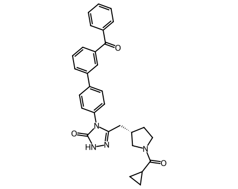 O=C(c1ccccc1)c1cccc(-c2ccc(-n3c(C[C@@H]4CCN(C(=O)C5CC5)C4)n[nH]c3=O)cc2)c1